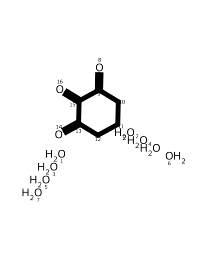 O.O.O.O.O.O.O.O.O=C1CCCC(=O)C1=O